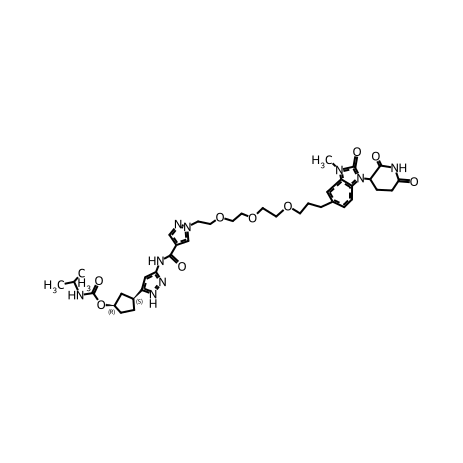 CC(C)NC(=O)O[C@@H]1CC[C@H](c2cc(NC(=O)c3cnn(CCOCCOCCOCCCc4ccc5c(c4)n(C)c(=O)n5C4CCC(=O)NC4=O)c3)n[nH]2)C1